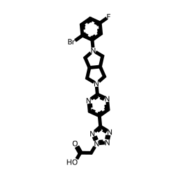 O=C(O)Cn1nnc(-c2cnc(N3CC4CN(c5cc(F)ccc5Br)CC4C3)nc2)n1